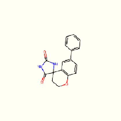 O=C1NC(=O)C2(CCOc3ccc(-c4ccccc4)cc32)N1